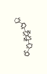 C1=C(c2ccc(-c3nc4sc(-c5ccc(-c6cccs6)s5)nc4s3)s2)SCC1